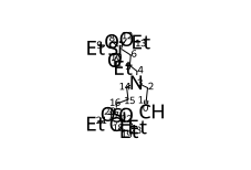 C#CCN(CCC[Si](OCC)(OCC)OCC)CCC[Si](OCC)(OCC)OCC